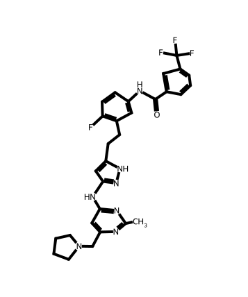 Cc1nc(CN2CCCC2)cc(Nc2cc(CCc3cc(NC(=O)c4cccc(C(F)(F)F)c4)ccc3F)[nH]n2)n1